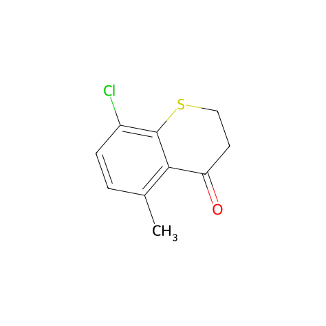 Cc1ccc(Cl)c2c1C(=O)CCS2